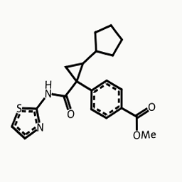 COC(=O)c1ccc(C2(C(=O)Nc3nccs3)CC2C2CCCC2)cc1